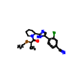 CSC(C)C(=O)N1CCCCC1c1ncc(-c2ccc(C#N)cc2F)[nH]1